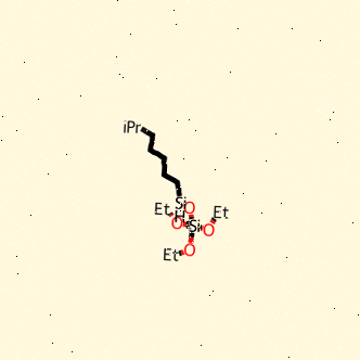 CCO[Si](OCC)(OCC)O[SiH2]CCCCCC(C)C